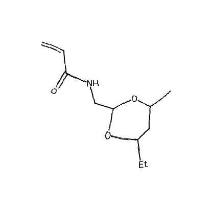 C=CC(=O)NCC1OC(C)CC(CC)O1